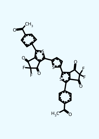 CC(=O)c1ccc(-c2sc(-c3ccc(-c4sc(-c5ccc(C(C)=O)cc5)c5c4C(=O)C(F)(F)C5=O)s3)c3c2C(=O)C(F)(F)C3=O)cc1